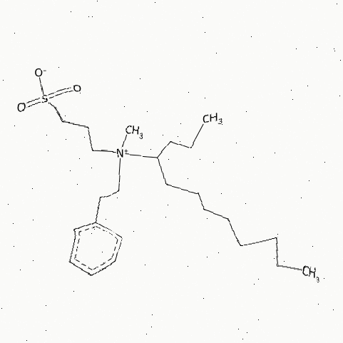 CCCCCCCCC(CCC)[N+](C)(CCCS(=O)(=O)[O-])CCc1ccccc1